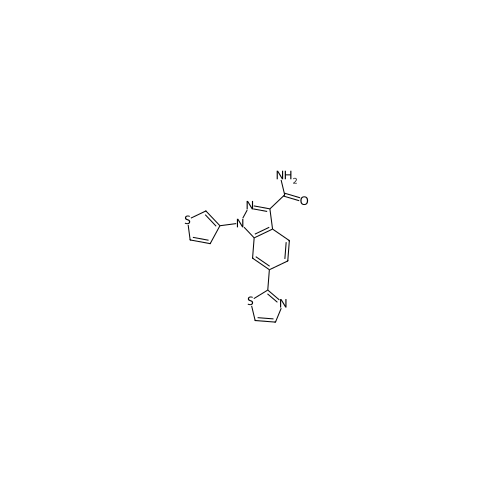 NC(=O)c1nn(-c2ccsc2)c2cc(-c3nccs3)ccc12